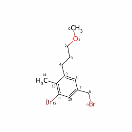 COCCCc1cc(CBr)cc(Br)c1C